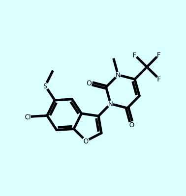 CSc1cc2c(-n3c(=O)cc(C(F)(F)F)n(C)c3=O)coc2cc1Cl